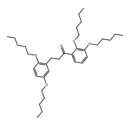 CCCCCOc1ccc(OCCCCC)c(CCC(=O)c2cccc(OCCCCC)c2OCCCCC)c1